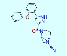 N#CN1CC2CC1CCN2C(=O)c1cc(-c2ccccc2Oc2ccccc2)[nH]n1